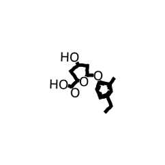 CCc1ccc(OC2CC(O)CC(C(=O)O)O2)c(C)c1